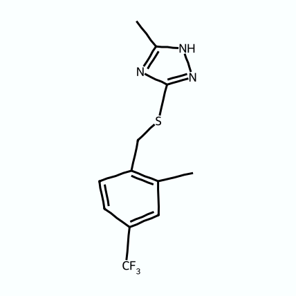 Cc1nc(SCc2ccc(C(F)(F)F)cc2C)n[nH]1